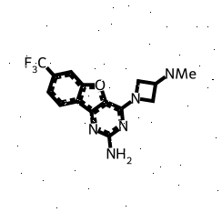 CNC1CN(c2nc(N)nc3c2oc2cc(C(F)(F)F)ccc23)C1